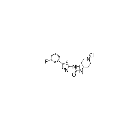 CN(C(=O)Nc1ncc(-c2cccc(F)c2)s1)C1CCN(Cl)CC1